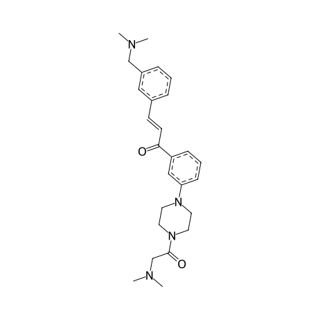 CN(C)CC(=O)N1CCN(c2cccc(C(=O)C=Cc3cccc(CN(C)C)c3)c2)CC1